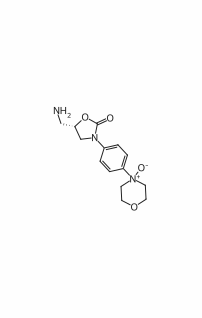 NC[C@H]1CN(c2ccc([N+]3([O-])CCOCC3)cc2)C(=O)O1